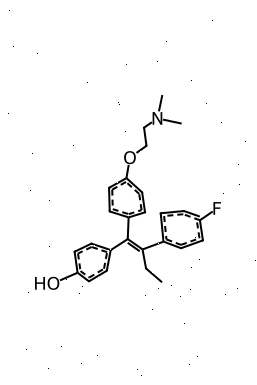 CC/C(=C(\c1ccc(O)cc1)c1ccc(OCCN(C)C)cc1)c1ccc(F)cc1